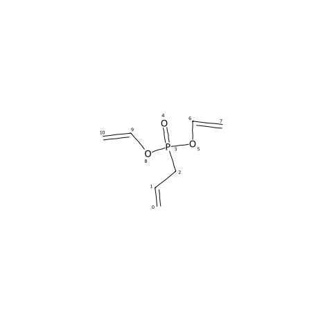 C=CCP(=O)(OC=C)OC=C